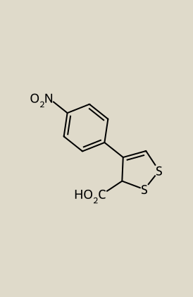 O=C(O)C1SSC=C1c1ccc([N+](=O)[O-])cc1